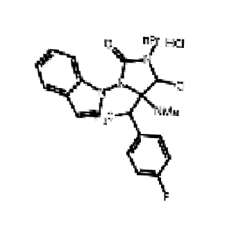 CCCN1C(=O)N(n2ccc3ccccc32)C(NC)(C(C)c2ccc(F)cc2)C1Cl.Cl